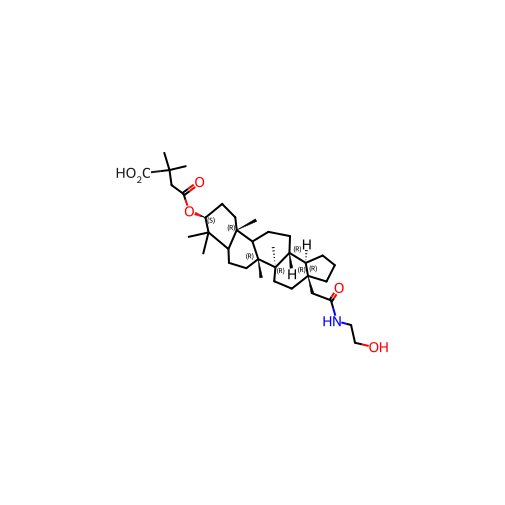 CC(C)(CC(=O)O[C@H]1CC[C@@]2(C)C(CC[C@]3(C)C2CC[C@@H]2[C@H]4CCC[C@]4(CC(=O)NCCO)CC[C@]23C)C1(C)C)C(=O)O